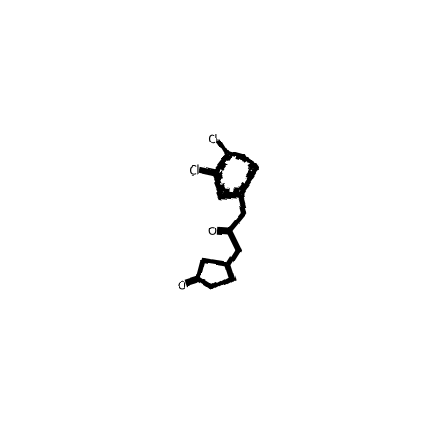 O=C1CCC(CC(=O)Cc2ccc(Cl)c(Cl)c2)C1